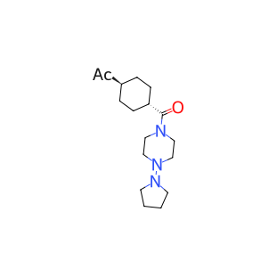 CC(=O)[C@H]1CC[C@H](C(=O)N2CCN(N3CCCC3)CC2)CC1